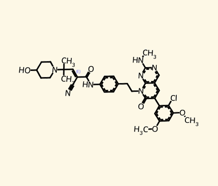 CNc1ncc2cc(-c3cc(OC)cc(OC)c3Cl)c(=O)n(CCc3ccc(NC(=O)/C(C#N)=C/C(C)(C)N4CCC(O)CC4)cc3)c2n1